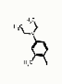 CCN(CC)c1ccc(I)c(C)c1